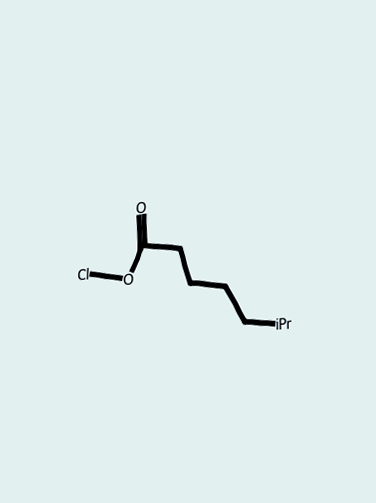 CC(C)CCCCC(=O)OCl